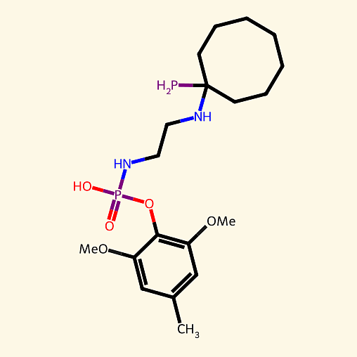 COc1cc(C)cc(OC)c1OP(=O)(O)NCCNC1(P)CCCCCCC1